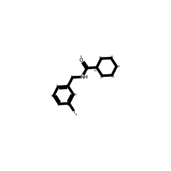 O=C(NCc1cccc(I)c1)C1CCCCC1